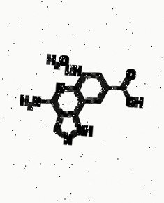 Nc1nc2ccc(C(=O)O)cc2c2[nH]ncc12.O.[LiH]